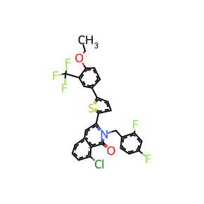 CCOc1ccc(-c2ccc(-c3cc4cccc(Cl)c4c(=O)n3Cc3ccc(F)cc3F)s2)cc1C(F)(F)F